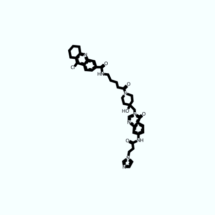 O=C(CCn1ccnc1)Nc1ccc2c(=O)n(CC3(O)CCN(C(=O)CCCCNC(=O)c4ccc5c(Cl)c6c(nc5c4)CCCC6)CC3)cnc2c1